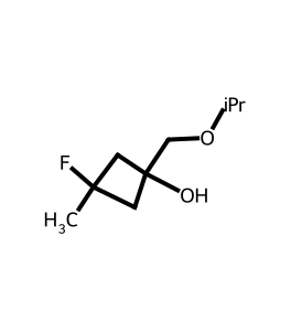 CC(C)OCC1(O)CC(C)(F)C1